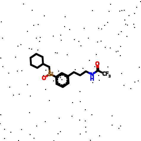 O=C(NCCCc1cccc([S+]([O-])CC2CCCCC2)c1)C(F)(F)F